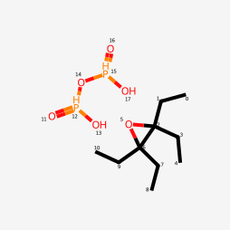 CCC1(CC)OC1(CC)CC.O=[PH](O)O[PH](=O)O